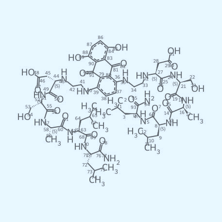 CC(C)C[C@H](NC(=O)[C@H](CC(C)C)NC(=O)[C@H](C)NC(=O)[C@H](CO)NC(=O)[C@H](CC(=O)O)NCCNc1ccc(NCCN[C@@H](CC(=O)O)C(=O)N[C@@H](CO)C(=O)N[C@@H](C)C(=O)N[C@@H](CC(C)C)C(=O)N[C@@H](CC(C)C)C(N)=O)c2c1C(=O)c1c(O)ccc(O)c1C2=O)C(N)=O